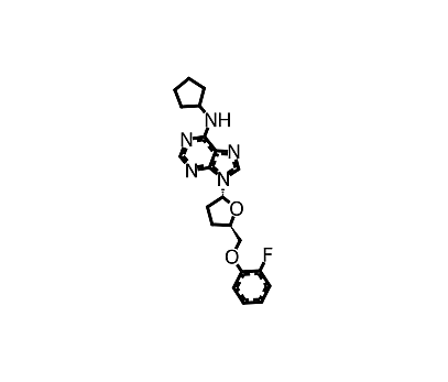 Fc1ccccc1OC[C@H]1CC[C@H](n2cnc3c(NC4CCCC4)ncnc32)O1